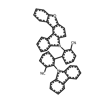 N#Cc1cccc(-c2cccc(C#N)c2-n2c3ccccc3c3c4c(ccc32)oc2ccccc24)c1-n1c2ccccc2c2ccccc21